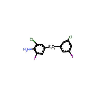 FC(F)(F)c1cc(Cl)cc(I)c1.Nc1c(Cl)cc(C(F)(F)F)cc1I